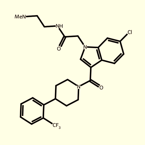 CNCCNC(=O)Cn1cc(C(=O)N2CCC(c3ccccc3C(F)(F)F)CC2)c2ccc(Cl)cc21